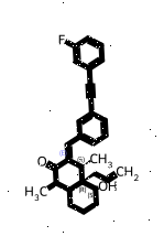 C=CC[C@]12C(CCC[C@@H]1O)C(C)C(=O)/C(=C/c1cccc(C#Cc3cccc(F)c3)c1)[C@@H]2C